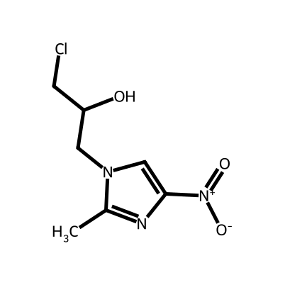 Cc1nc([N+](=O)[O-])cn1CC(O)CCl